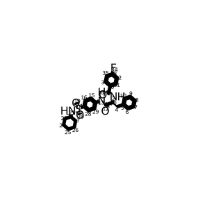 O=C(N[C@@H](Cc1ccccc1)C(=O)Nc1ccc(S(=O)(=O)NC2CCCCC2)cc1)c1ccc(F)cc1